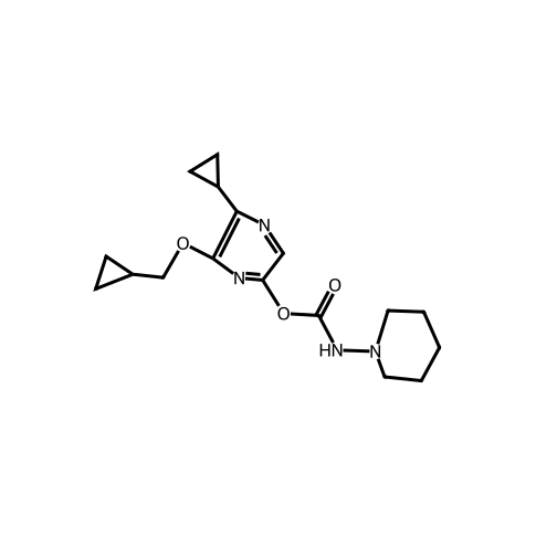 O=C(NN1CCCCC1)Oc1cnc(C2CC2)c(OCC2CC2)n1